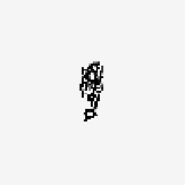 Cc1ccc(Cn2cc(F)c(C(=O)N[C@@H]3C(=O)N(C)c4ncccc4[C@@H]4C[C@H]34)n2)cc1